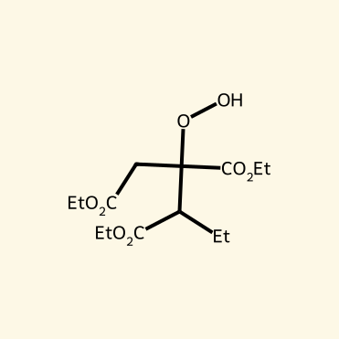 CCOC(=O)CC(OO)(C(=O)OCC)C(CC)C(=O)OCC